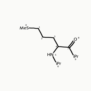 CSCCCC(NC(C)C)C(=O)C(C)C